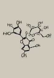 O=c1c(O[C@H]2O[C@H](CO)[C@@H](O)[C@H](O)[C@H]2O)c(-c2cc(O)c(O)c(O)c2)oc2cc(O)cc(O)c12